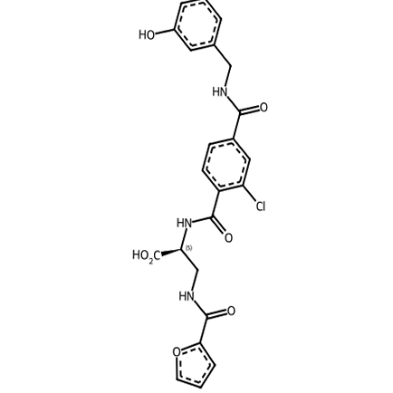 O=C(NCc1cccc(O)c1)c1ccc(C(=O)N[C@@H](CNC(=O)c2ccco2)C(=O)O)c(Cl)c1